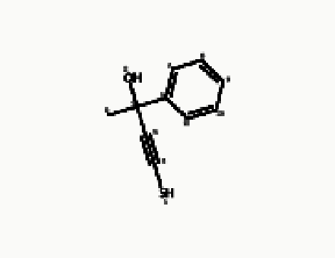 CC(O)(C#CS)c1ccccc1